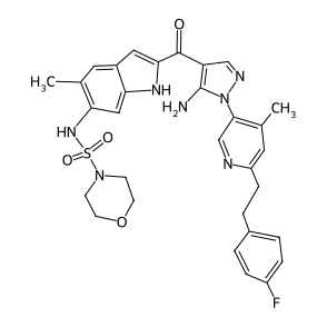 Cc1cc2cc(C(=O)c3cnn(-c4cnc(CCc5ccc(F)cc5)cc4C)c3N)[nH]c2cc1NS(=O)(=O)N1CCOCC1